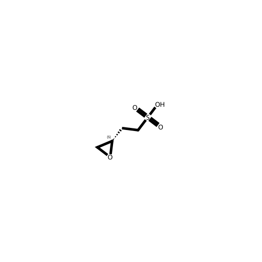 O=S(=O)(O)CC[C@H]1CO1